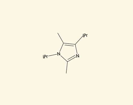 Cc1nc(C(C)C)c(C)n1C(C)C